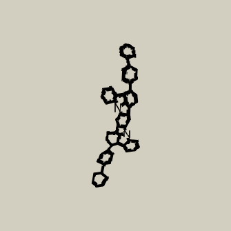 C1=CCC(c2ccc(C3CC=c4c5cc6c(cc5n5c4c3c3ccccc35)c3ccc(-c4ccc(-c5ccccc5)cc4)c4c5ccccc5n6c34)cc2)C=C1